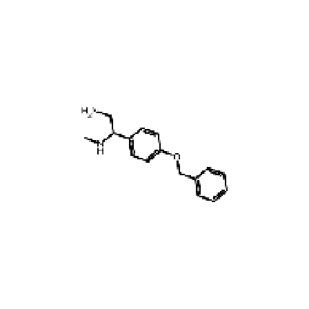 CNC(CN)c1ccc(OCc2ccccc2)cc1